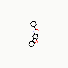 O=C(Nc1ccc2oc3c(c2c1)CCCC3)C1CCCCC1